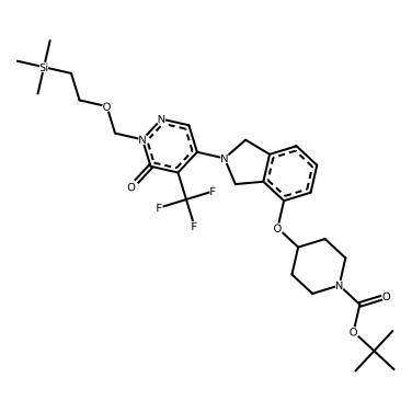 CC(C)(C)OC(=O)N1CCC(Oc2cccc3c2CN(c2cnn(COCC[Si](C)(C)C)c(=O)c2C(F)(F)F)C3)CC1